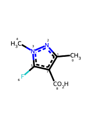 Cc1nn(C)c(F)c1C(=O)O